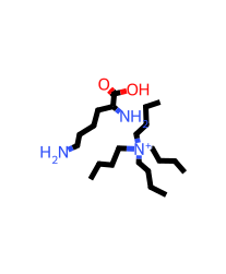 CCCC[N+](CCCC)(CCCC)CCCC.NCCCCC(N)C(=O)O